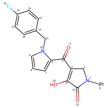 CC(C)N1CC(C(=O)c2cccn2Cc2ccc(F)cc2)=C(O)C1=O